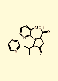 CC(C)N1C(=O)CC(C(=O)O)N1c1ncccc1Cl.c1ccncc1